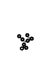 c1ccc(-c2ccc(N(c3ccc(C4(c5ccccc5)CCCCC4)cc3)c3ccc4c5ccccc5n(-c5ccccc5)c4c3)cc2)cc1